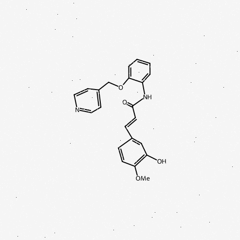 COc1ccc(/C=C/C(=O)Nc2ccccc2OCc2ccncc2)cc1O